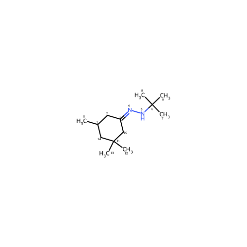 CC1CC(=NNC(C)(C)C)CC(C)(C)C1